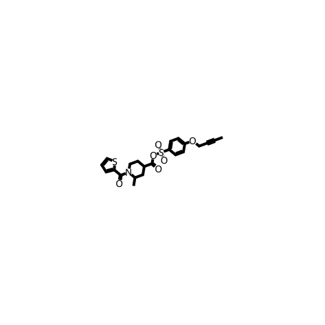 CC#CCOc1ccc(S(=O)(=O)OC(=O)C2CCN(C(=O)c3cccs3)C(C)C2)cc1